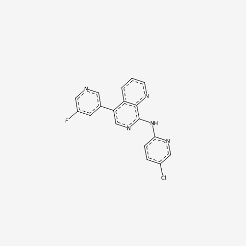 Fc1cncc(-c2cnc(Nc3ccc(Cl)cn3)c3ncccc23)c1